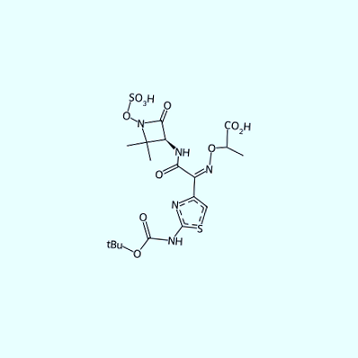 CC(O/N=C(\C(=O)N[C@@H]1C(=O)N(OS(=O)(=O)O)C1(C)C)c1csc(NC(=O)OC(C)(C)C)n1)C(=O)O